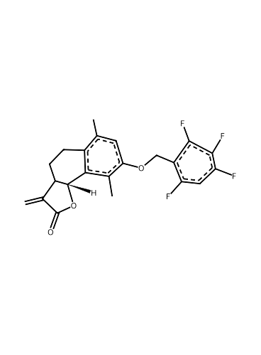 C=C1C(=O)O[C@H]2c3c(C)c(OCc4c(F)cc(F)c(F)c4F)cc(C)c3CCC12